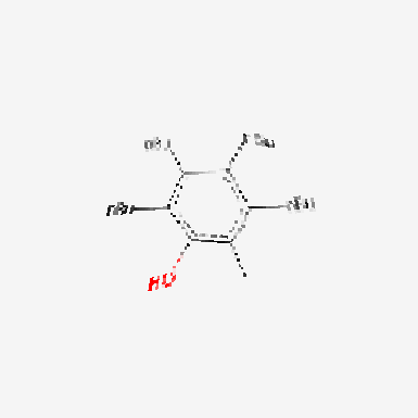 CCCCc1c(C)c(O)c(CCCC)c(CCCC)c1CCCC